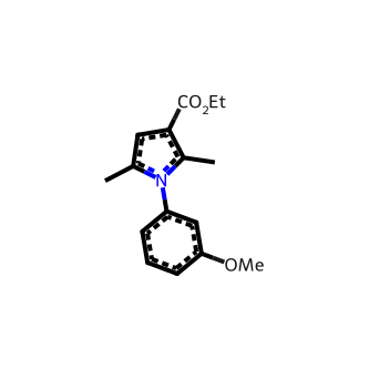 CCOC(=O)c1cc(C)n(-c2cccc(OC)c2)c1C